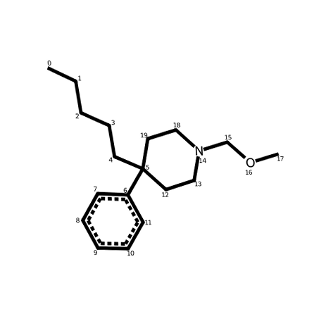 CCCCCC1(c2ccccc2)CCN(COC)CC1